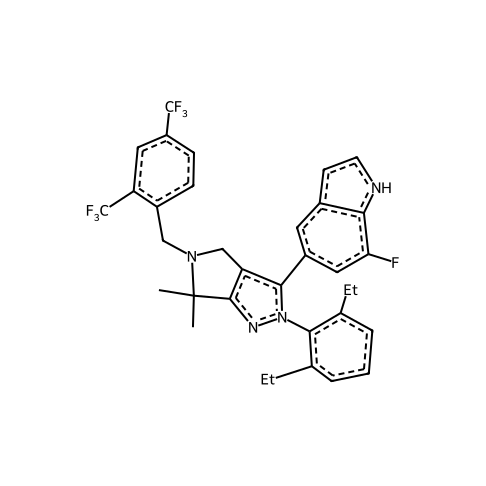 CCc1cccc(CC)c1-n1nc2c(c1-c1cc(F)c3[nH]ccc3c1)CN(Cc1ccc(C(F)(F)F)cc1C(F)(F)F)C2(C)C